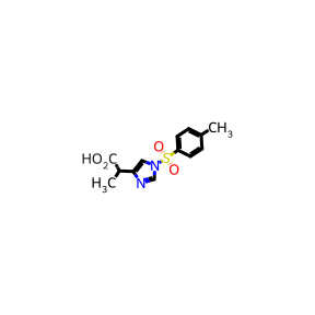 Cc1ccc(S(=O)(=O)n2cnc(C(C)C(=O)O)c2)cc1